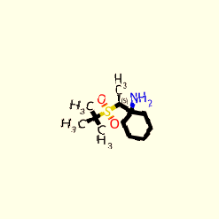 C[C@@H](C1(N)CCCCC1)S(=O)(=O)C(C)(C)C